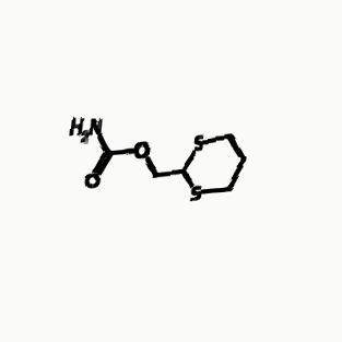 NC(=O)OCC1SCCCS1